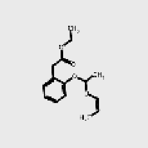 C/C=C\OC(C)Oc1ccccc1CC(=O)OCC